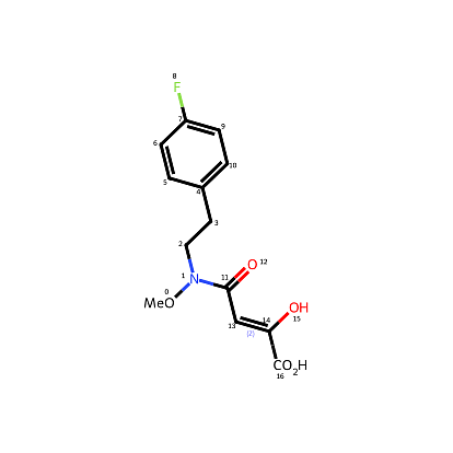 CON(CCc1ccc(F)cc1)C(=O)/C=C(\O)C(=O)O